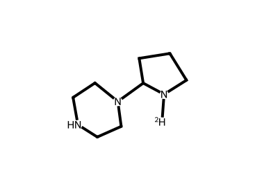 [2H]N1CCCC1N1CCNCC1